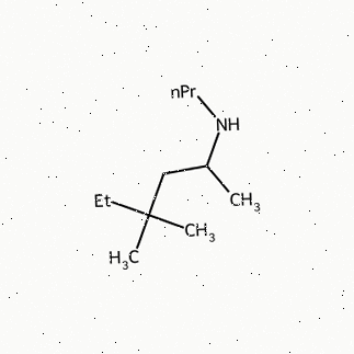 CCCNC(C)CC(C)(C)CC